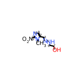 Cn1c(/C=N/NCCO)cnc1[N+](=O)[O-]